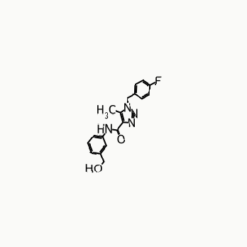 Cc1c(C(=O)Nc2cccc(CO)c2)nnn1Cc1ccc(F)cc1